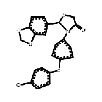 O=C1CSC(c2ccc3c(c2)OCO3)N1c1ccc(Oc2ccc(Cl)cc2)cc1